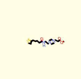 COC(=O)CCN1CCN(CCNC(=O)CCCCC2CCSS2)CC1